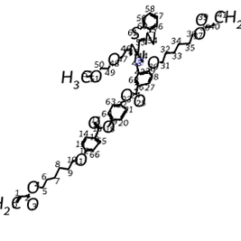 C=CC(=O)OCCCCCCOc1ccc(C(=O)Oc2ccc(OC(=O)c3ccc(OCCCCCCOC(=O)C=C)c(/C=N/N(CCOCCOC)c4nc5ccccc5s4)c3)cc2)cc1